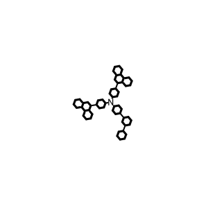 c1ccc(-c2cccc(-c3ccc(N(c4ccc(-c5cc6ccccc6c6ccccc56)cc4)c4ccc(-c5cc6ccccc6c6ccccc56)cc4)cc3)c2)cc1